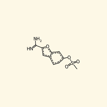 CS(=O)(=O)Oc1ccc2cc(C(=N)N)oc2c1